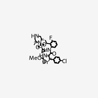 COC(=O)N[C@H](C(=O)Nc1cccc(F)c1CC[C@H]1CNC[C@H](C)N1S(=O)(=O)C1CC1)[C@@H](c1ccc(Cl)cc1)C(C)C